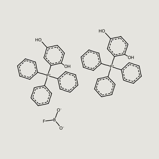 Oc1ccc(O)c([P+](c2ccccc2)(c2ccccc2)c2ccccc2)c1.Oc1ccc(O)c([P+](c2ccccc2)(c2ccccc2)c2ccccc2)c1.[O-]B([O-])F